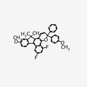 COc1ccc(C2(c3ccccc3)C=Cc3c4c(c5cc(F)cc(F)c5c3O2)-c2ccc(OC)cc2C4(C)C)cc1